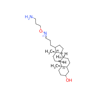 C[C@]12CCC(O)CC1CC[C@@H]1[C@H]2CC[C@]2(C)C(CC/C=N/OCCCN)CC[C@@H]12